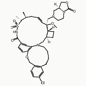 CO[C@]1(CN2CCN3C(=O)OC[C@@H]3C2)/C=C/C[C@H](C)[C@@H](C)S(=O)(=O)NC(=O)c2ccc3c(c2)N(CCCCc2cc(Cl)ccc2CO3)C[C@@H]2CC[C@H]21